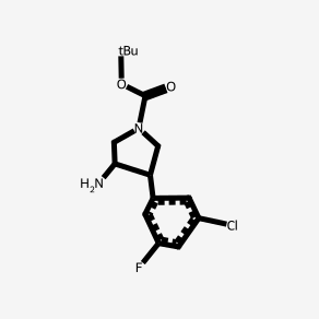 CC(C)(C)OC(=O)N1CC(N)C(c2cc(F)cc(Cl)c2)C1